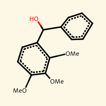 COc1ccc(C(O)c2ccccc2)c(OC)c1OC